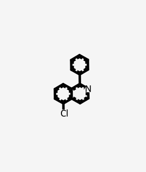 Clc1cccc2c(-c3ccccc3)nccc12